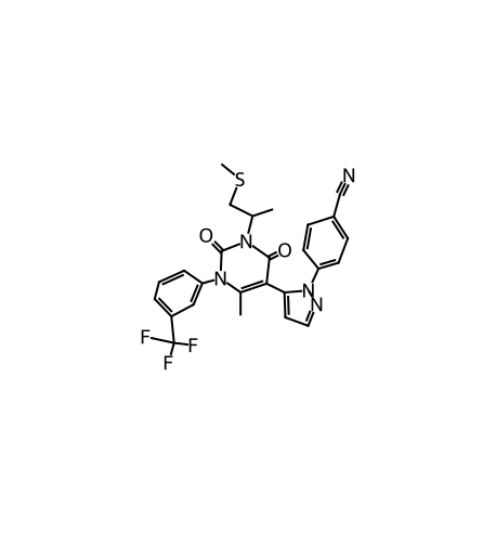 CSCC(C)n1c(=O)c(-c2ccnn2-c2ccc(C#N)cc2)c(C)n(-c2cccc(C(F)(F)F)c2)c1=O